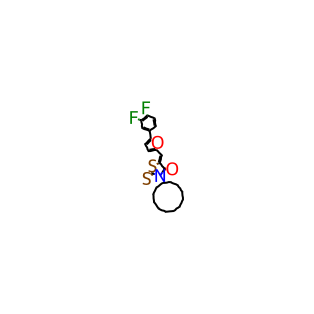 O=C1/C(=C/c2ccc(-c3ccc(F)c(F)c3)o2)SC(=S)N1C1CCCCCCCCCCC1